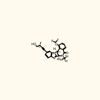 [2H]C([2H])([2H])N1C(=O)c2cccc(OC(F)F)c2[C@H]2C[C@@H]1c1nc3ccc(C#C[C@H](C)CO)cc3n12